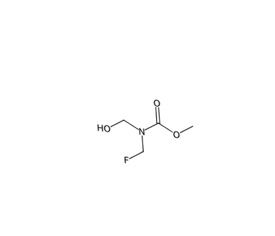 COC(=O)N(CO)CF